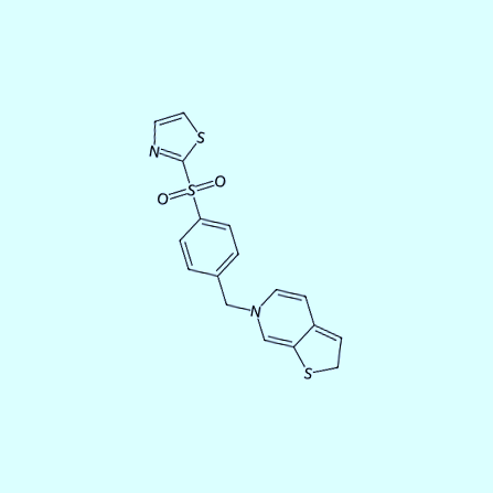 O=S(=O)(c1ccc(CN2C=CC3=CCSC3=C2)cc1)c1nccs1